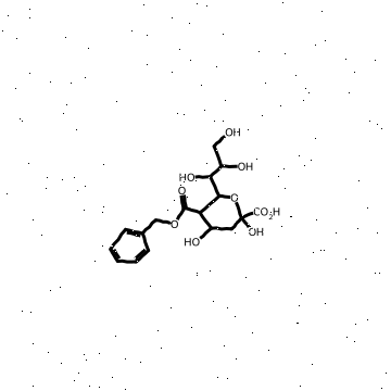 O=C(OCc1ccccc1)C1C(O)CC(O)(C(=O)O)OC1C(O)C(O)CO